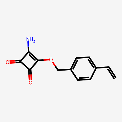 C=Cc1ccc(COc2c(N)c(=O)c2=O)cc1